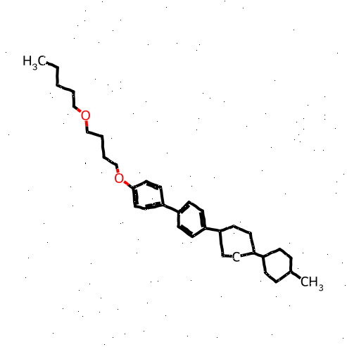 CCCCCOCCCCOc1ccc(-c2ccc(C3CCC(C4CCC(C)CC4)CC3)cc2)cc1